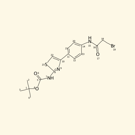 CC(C)(C)OC(=O)Nc1nc(-c2ccc(NC(=O)CBr)cc2)cs1